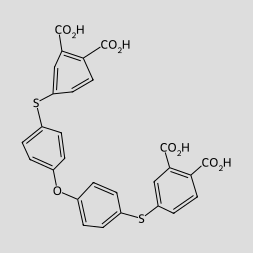 O=C(O)c1ccc(Sc2ccc(Oc3ccc(Sc4ccc(C(=O)O)c(C(=O)O)c4)cc3)cc2)cc1C(=O)O